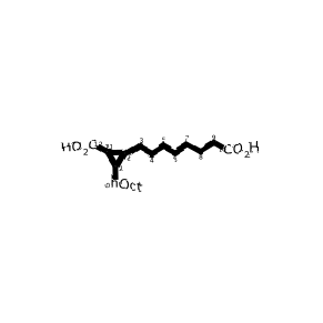 CCCCCCCCC1C(CCCCCCCC(=O)O)C1C(=O)O